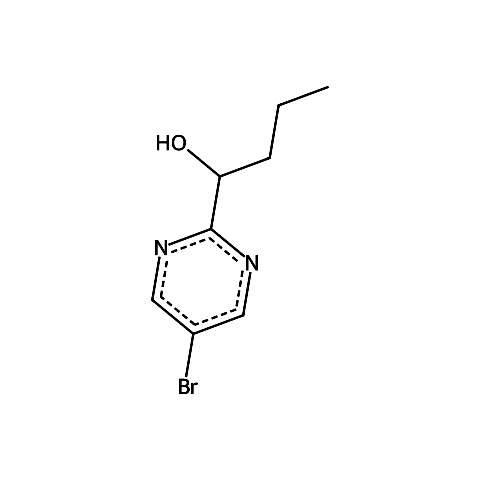 CCCC(O)c1ncc(Br)cn1